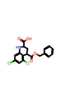 O=C(O)C1CC(C(=O)OCc2ccccc2)c2c(Cl)cc(Cl)cc2N1